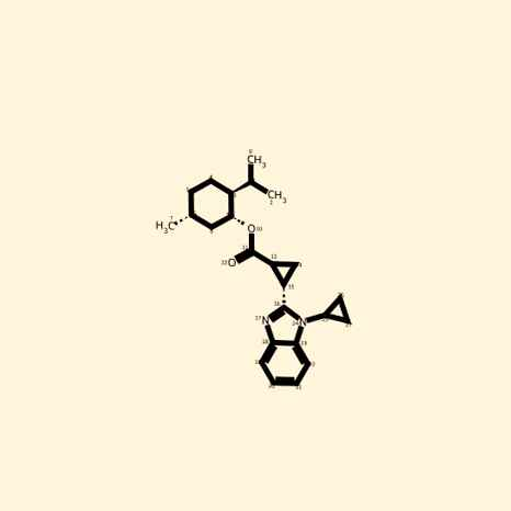 CC(C)[C@@H]1CC[C@@H](C)C[C@H]1OC(=O)C1C[C@@H]1c1nc2ccccc2n1C1CC1